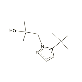 CC(C)(O)Cn1nccc1C(C)(C)C